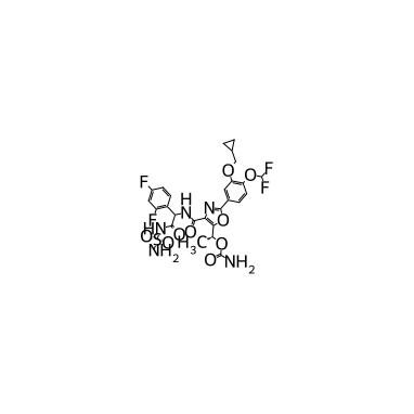 C[C@H](OC(N)=O)c1oc(-c2ccc(OC(F)F)c(OCC3CC3)c2)nc1C(=O)NC(C(=O)NS(N)(=O)=O)c1ccc(F)cc1F